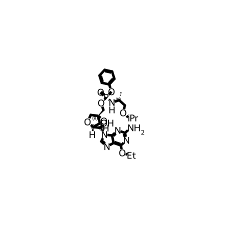 CCOc1nc(N)nc2c1ncn2[C@@H]1O[C@@]2(COP(=O)(N[C@H](C)COC(C)C)Oc3ccccc3)CO[C@@H]1[C@@H]2O